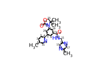 Cc1ccc(-c2cc(C(=O)NCc3cnc(C)cn3)cc(N3C(=O)OCC3(C)C)c2)nc1